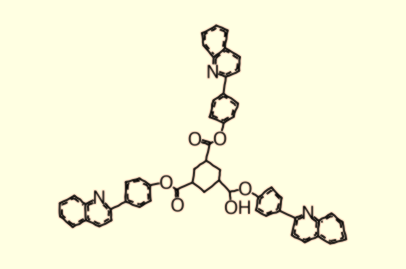 O=C(Oc1ccc(-c2ccc3ccccc3n2)cc1)C1CC(C(=O)Oc2ccc(-c3ccc4ccccc4n3)cc2)CC(C(O)Oc2ccc(-c3ccc4ccccc4n3)cc2)C1